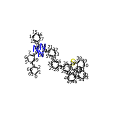 c1ccc(-c2cccc(-c3nc(-c4ccccc4)nc(-c4cccc(-c5cccc(-c6ccc7c(c6)Sc6ccccc6C7(c6ccccc6)c6ccccc6)c5)c4)n3)c2)cc1